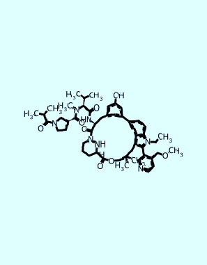 CCn1c(-c2cnccc2COC)c2c3cc(ccc31)-c1cc(O)cc(c1)C[C@H](NC(=O)[C@H](C(C)C)N(C)C(=O)[C@H]1CCN(C(=O)C(C)C)C1)C(=O)N1CCC[C@H](N1)C(=O)OCC(C)(C)C2